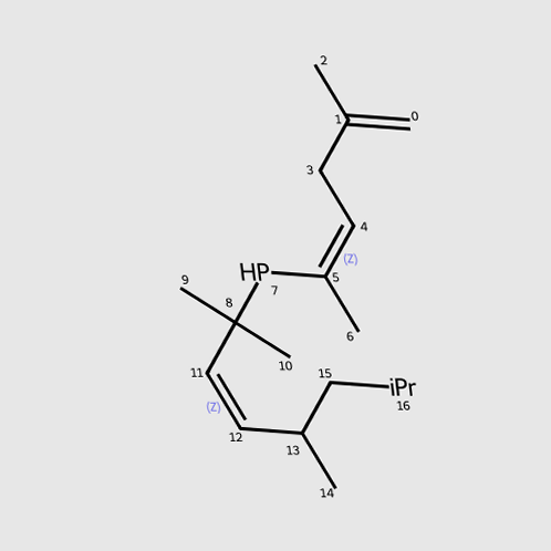 C=C(C)C/C=C(/C)PC(C)(C)/C=C\C(C)CC(C)C